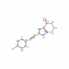 Cc1ccc(C#Cc2cc3n(c2)CCCC3=O)cc1